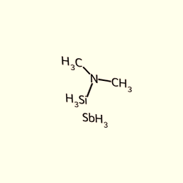 CN(C)[SiH3].[SbH3]